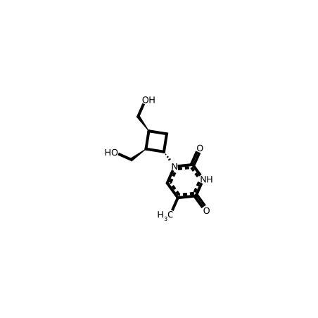 Cc1cn([C@H]2C[C@H](CO)[C@@H]2CO)c(=O)[nH]c1=O